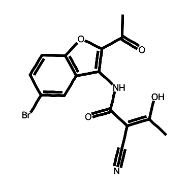 CC(=O)c1oc2ccc(Br)cc2c1NC(=O)C(C#N)=C(C)O